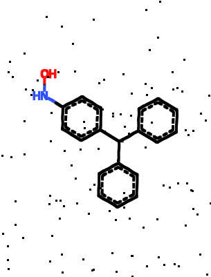 ONc1ccc([C](c2ccccc2)c2ccccc2)cc1